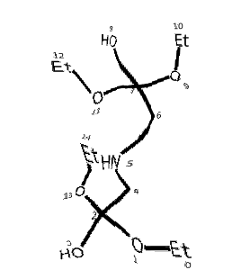 CCOC(O)(CNCC(O)(OCC)OCC)OCC